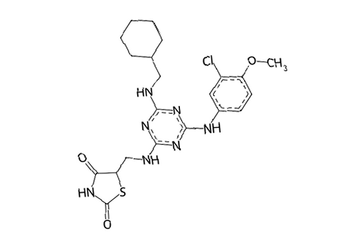 COc1ccc(Nc2nc(NCC3CCCCC3)nc(NCC3SC(=O)NC3=O)n2)cc1Cl